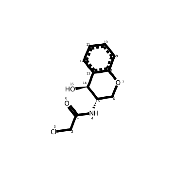 O=C(CCl)N[C@H]1COc2ccccc2[C@@H]1O